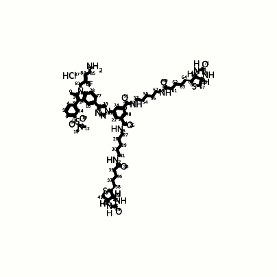 Cc1c(-c2cccc(S(=O)(=O)N(C)C)c2)c2cc(-c3cn(-c4cc(C(=O)NCCCCCNC(=O)CCCC[C@@H]5SC[C@@H]6NC(=O)N[C@@H]65)cc(C(=O)NCCCCCNC(=O)CCCC[C@@H]5SC[C@@H]6NC(=O)N[C@@H]65)c4)nn3)ccc2n1C/C(F)=C/CN.Cl